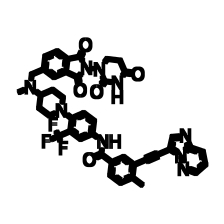 Cc1ccc(C(=O)Nc2ccc(N3CCC(N(C)Cc4ccc5c(c4)C(=O)N(N4CCC(=O)NC4=O)C5=O)CC3)c(C(F)(F)F)c2)cc1C#Cc1cnc2cccnn12